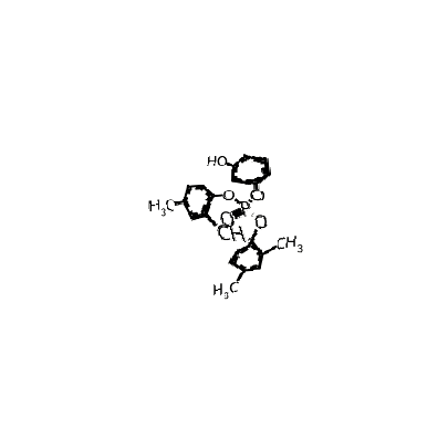 Cc1ccc(OP(=O)(Oc2cccc(O)c2)Oc2ccc(C)cc2C)c(C)c1